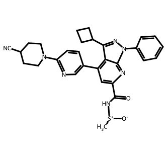 C[S+]([O-])NC(=O)c1cc(-c2ccc(N3CCC(C#N)CC3)nc2)c2c(C3CCC3)nn(-c3ccccc3)c2n1